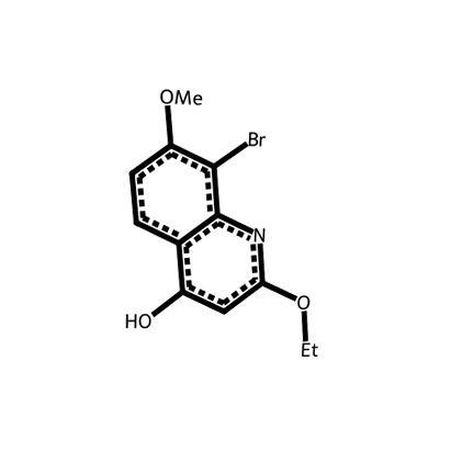 CCOc1cc(O)c2ccc(OC)c(Br)c2n1